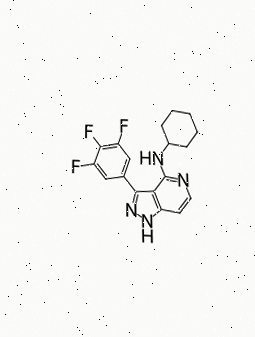 Fc1cc(-c2n[nH]c3ccnc(NC4CCCCC4)c23)cc(F)c1F